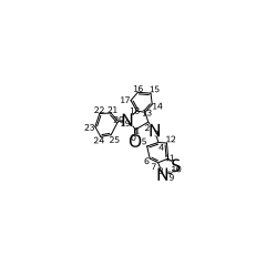 O=C1/C(=N\c2ccc3ncsc3c2)c2ccccc2N1c1ccccc1